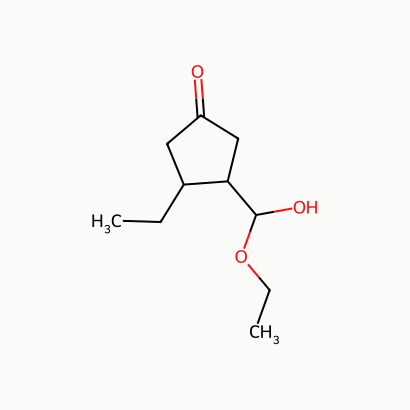 CCOC(O)C1CC(=O)CC1CC